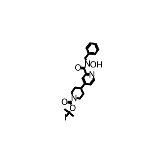 CC(C)(I)OC(=O)N1CCC(c2ccnc(C(=O)N(O)Cc3ccccc3)c2)CC1